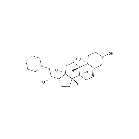 C[C@H](CN1CCCCC1)[C@H]1CC[C@H]2[C@@H]3CC=C4CC(O)CC[C@]4(C)[C@H]3CC[C@]12C